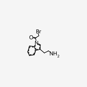 NCCc1cn(C(=O)CBr)c2ccccc12